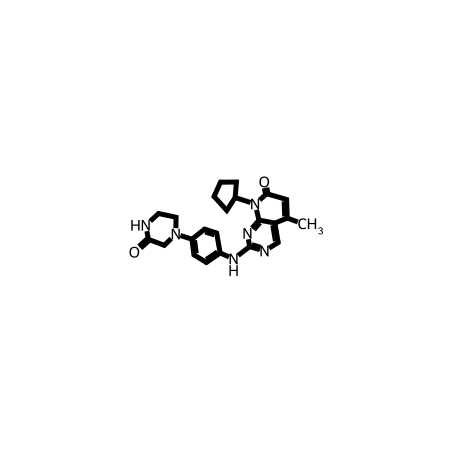 Cc1cc(=O)n(C2CCCC2)c2nc(Nc3ccc(N4CCNC(=O)C4)cc3)ncc12